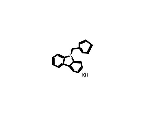 [KH].c1ccc(Cn2c3ccccc3c3ccccc32)cc1